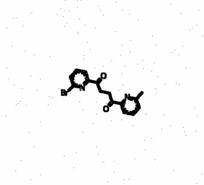 Cc1cccc(C(=O)CCC(=O)c2cccc(Br)n2)n1